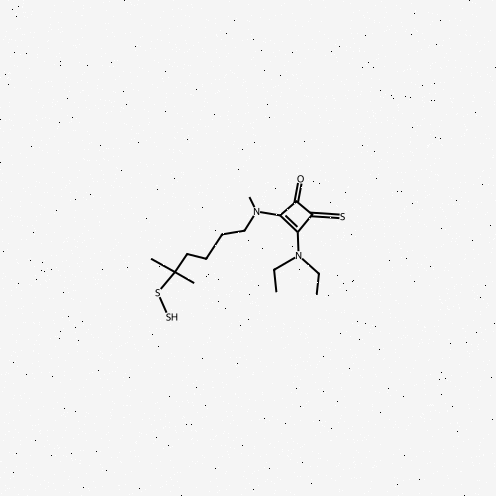 CCN(CC)c1c(N(C)CCCCC(C)(C)SS)c(=O)c1=S